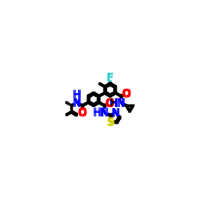 C=C(C)[C@@H](C)NC(=O)c1ccc(-c2cc(C(=O)NC3CC3)cc(F)c2C)c(C(=O)Nc2nccs2)c1